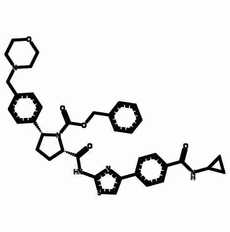 O=C(NC1CC1)c1ccc(-c2csc(NC(=O)[C@@H]3CC[C@H](c4ccc(CN5CCOCC5)cc4)N3C(=O)OCc3ccccc3)n2)cc1